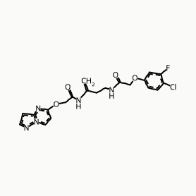 C=C(CCNC(=O)COc1ccc(Cl)c(F)c1)NC(=O)COc1ccn2nccc2n1